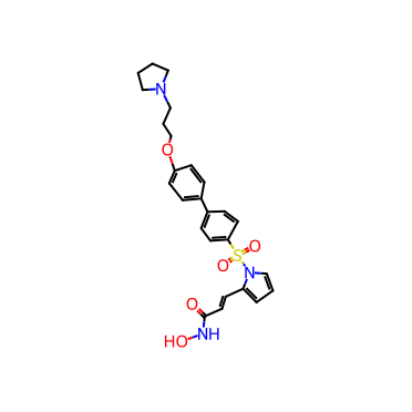 O=C(C=Cc1cccn1S(=O)(=O)c1ccc(-c2ccc(OCCCN3CCCC3)cc2)cc1)NO